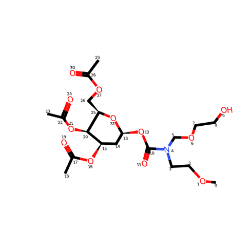 COCCN(COCCO)C(=O)O[C@H]1C[C@@H](OC(C)=O)[C@@H](OC(C)=O)[C@@H](COC(C)=O)O1